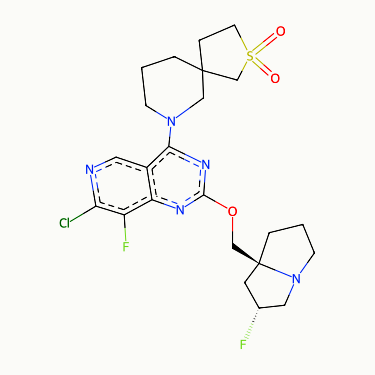 O=S1(=O)CCC2(CCCN(c3nc(OC[C@@]45CCCN4C[C@H](F)C5)nc4c(F)c(Cl)ncc34)C2)C1